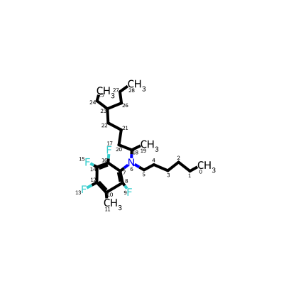 CCCCCCN(c1c(F)c(C)c(F)c(F)c1F)C(C)CCCC(CC)CCC